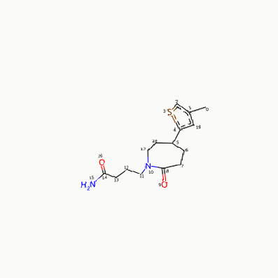 Cc1csc(C2CCC(=O)N(CCCC(N)=O)CC2)c1